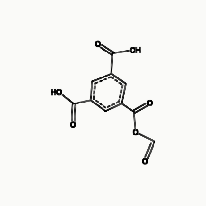 O=COC(=O)c1cc(C(=O)O)cc(C(=O)O)c1